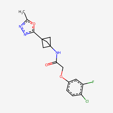 Cc1nnc(C23CC(NC(=O)COc4ccc(Cl)c(F)c4)(C2)C3)o1